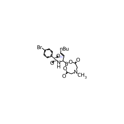 CCCC/C=C/C(NS(=O)(=O)c1ccc(Br)cc1)B1OC(=O)CN(C)CC(=O)O1